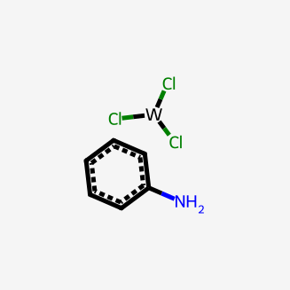 Nc1ccccc1.[Cl][W]([Cl])[Cl]